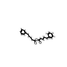 O=C(CCCCc1ccccc1)OC(=O)CCCCc1ccccc1